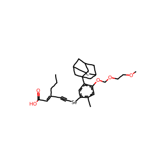 CCC/C(C#C[Se]c1cc(C23CC4CC(CC(C4)C2)C3)c(OCOCCOC)cc1C)=C\C(=O)O